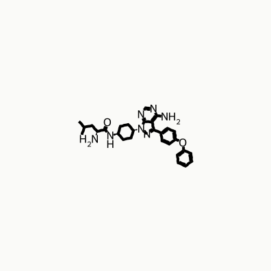 CC(C)C[C@@H](N)C(=O)N[C@H]1CC[C@H](n2nc(-c3ccc(Oc4ccccc4)cc3)c3c(N)ncnc32)CC1